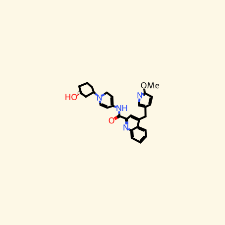 COc1ccc(Cc2cc(C(=O)NC3=CCN(C4CCC[C@@H](O)C4)C=C3)nc3ccccc23)cn1